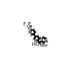 CC(C)(C)C(O)(c1ccc(-c2ccc(OCC(F)(F)F)nc2)cn1)c1cnccn1